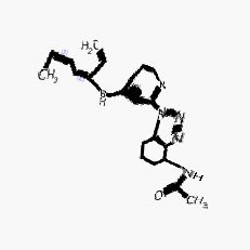 C=C/C(Bc1ccnc(-n2nnc3c2CCCC3NC(C)=O)c1)=C\C=C/C